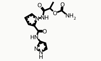 CC(OC(N)=O)C(=O)Nn1cccc1C(=O)Nc1cc[nH]n1